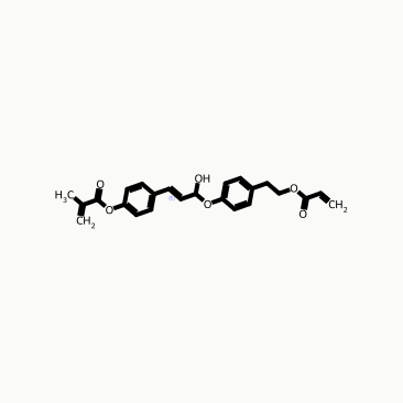 C=CC(=O)OCCc1ccc(OC(O)/C=C/c2ccc(OC(=O)C(=C)C)cc2)cc1